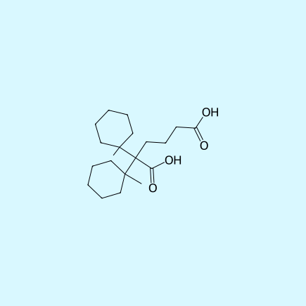 CC1(C(CCCC(=O)O)(C(=O)O)C2(C)CCCCC2)CCCCC1